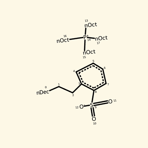 CCCCCCCCCCCCc1ccccc1S(=O)(=O)[O-].CCCCCCCC[P+](CCCCCCCC)(CCCCCCCC)CCCCCCCC